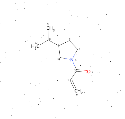 C=CC(=O)N1CCC(C(C)C)C1